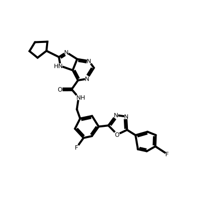 O=C(NCc1cc(F)cc(-c2nnc(-c3ccc(F)cc3)o2)c1)c1ncnc2nc(C3CCCC3)[nH]c12